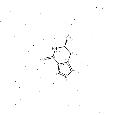 C[C@H]1Cn2cncc2C(=O)N1